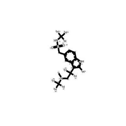 [2H]c1[nH]c2ccc(CS(=O)(=O)NC([2H])([2H])[2H])cc2c1C([2H])([2H])CN(C)C([2H])([2H])[2H]